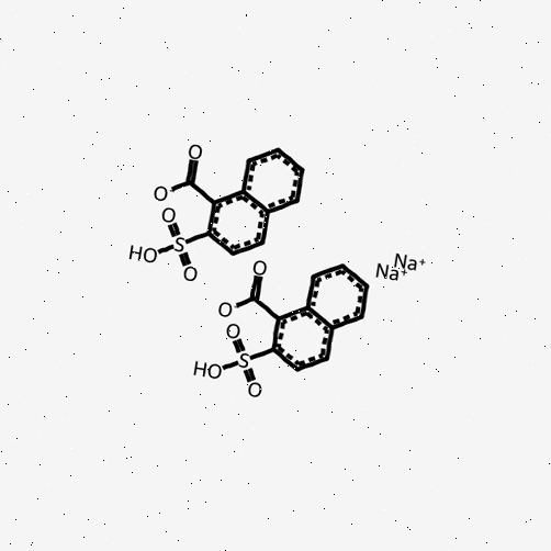 O=C([O-])c1c(S(=O)(=O)O)ccc2ccccc12.O=C([O-])c1c(S(=O)(=O)O)ccc2ccccc12.[Na+].[Na+]